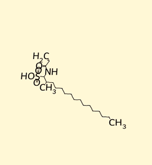 C=CC(=O)NC(C(C)CCCCCCCCCCCCCC)S(=O)(=O)O